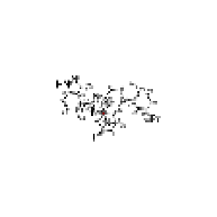 CO[C@@H]1C[C@@H]2C[C@H](C1)N2c1nc(-c2c(C)ccc3[nH]nc(C)c23)nc2c1CN(c1cc(C(C)C)ccc1C)CC2